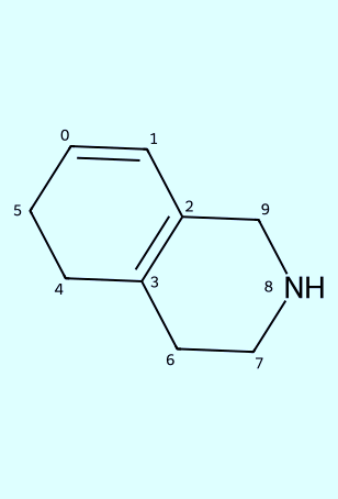 C1=CC2=C(CC1)CCNC2